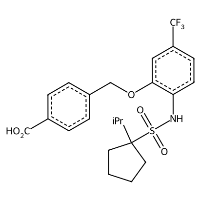 CC(C)C1(S(=O)(=O)Nc2ccc(C(F)(F)F)cc2OCc2ccc(C(=O)O)cc2)CCCC1